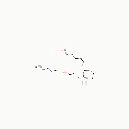 CCCCCCOCCCC[C@H]1[C@@H](C/C=C\CCCC(=O)O)[C@H]2CC[C@@H]1O2